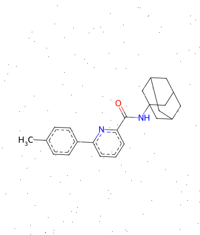 Cc1ccc(-c2cccc(C(=O)NC34CC5CC(CC(C5)C3)C4)n2)cc1